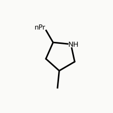 CCCC1CC(C)CN1